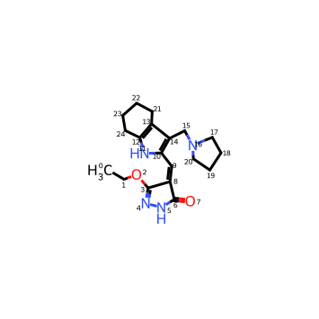 CCOC1=NNC(=O)/C1=C/c1[nH]c2c(c1CN1CCCC1)CCCC2